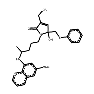 COc1cc(NC(C)CCCN2C(=O)C(CC(F)(F)F)=CC2(O)CSc2ccccc2)c2ncccc2c1